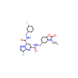 Cn1c(=O)oc2ccc(CNC(=O)c3cc(C(=O)NCc4cccc(F)c4)n4ncc(F)c4n3)cc21